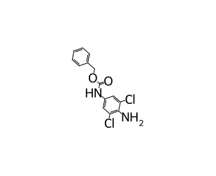 Nc1c(Cl)cc(NC(=O)OCc2ccccc2)cc1Cl